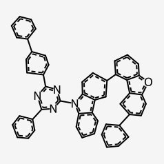 c1ccc(-c2ccc(-c3nc(-c4ccccc4)nc(-n4c5ccccc5c5cc(-c6cccc7oc8ccc(-c9ccccc9)cc8c67)ccc54)n3)cc2)cc1